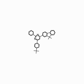 CC(C)(C)c1ccc(-c2cc(-c3ccc4c(c3)C(C)(C)c3ccccc3-4)nc(-c3ccccc3)n2)cc1